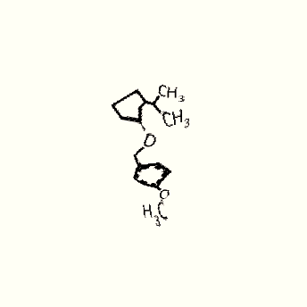 COc1ccc(CO[C@@H]2CCCC2C(C)C)cc1